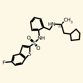 C[C@@H](CC1CCCC1)NCc1ccccc1NS(=O)(=O)c1cc2cc(F)ccc2s1